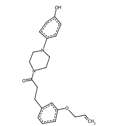 C=CCOc1cccc(CCC(=O)N2CCN(c3ccc(O)cc3)CC2)c1